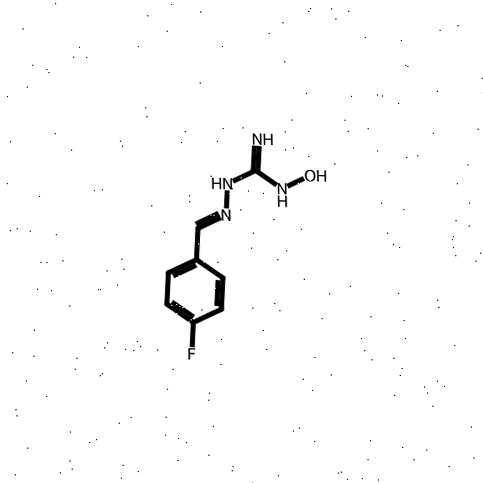 N=C(NO)NN=Cc1ccc(F)cc1